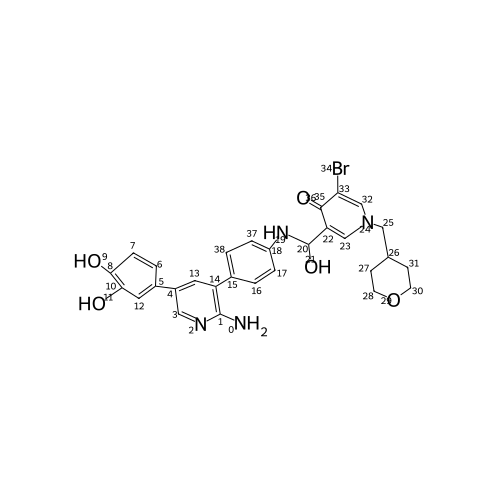 Nc1ncc(-c2ccc(O)c(O)c2)cc1-c1ccc(NC(O)c2cn(CC3CCOCC3)cc(Br)c2=O)cc1